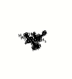 CC(C)(CCc1ccc(-c2ccc(Cl)c3c(N(C(=O)OCCN4CCOCC4)S(C)(=O)=O)nn(CC(F)(F)F)c23)c([C@H](Cc2cc(F)cc(F)c2)NC(=O)Cn2nc(C(F)(F)F)c3c2C(F)(F)[C@@H]2C[C@H]32)n1)S(C)(=O)=O